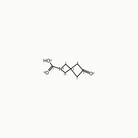 O=C1CC2(C1)CN(C(=O)O)C2